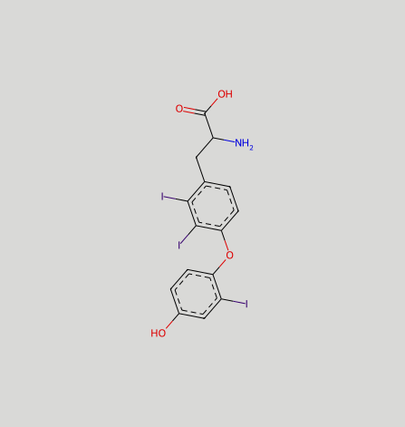 NC(Cc1ccc(Oc2ccc(O)cc2I)c(I)c1I)C(=O)O